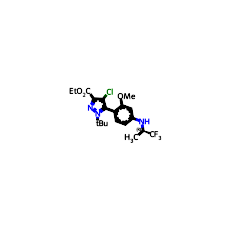 CCOC(=O)c1nn(C(C)(C)C)c(-c2ccc(N[C@H](C)C(F)(F)F)cc2OC)c1Cl